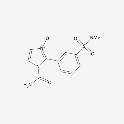 CNS(=O)(=O)c1cccc(-c2n(C(N)=O)cc[n+]2[O-])c1